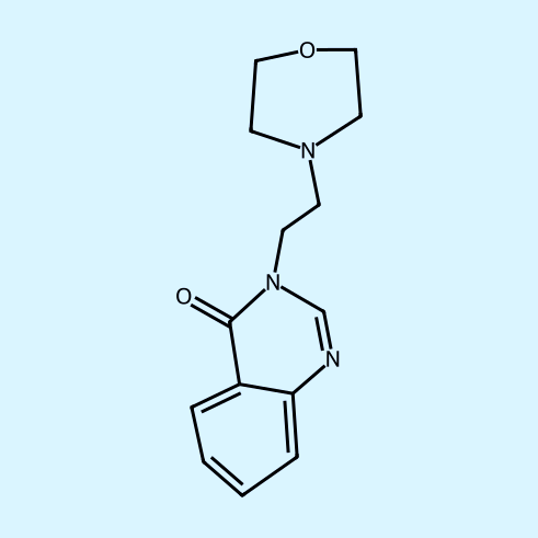 O=c1c2ccccc2ncn1CCN1CCOCC1